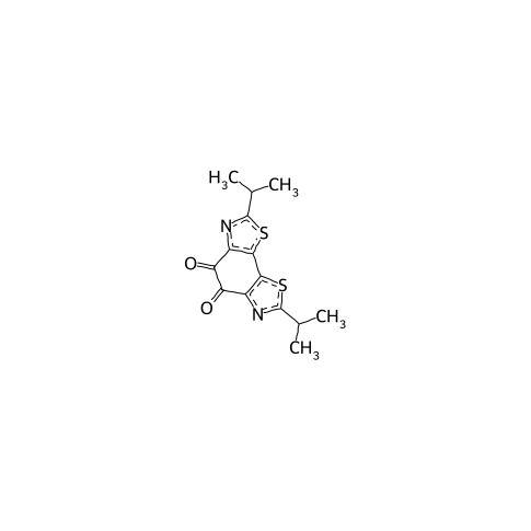 CC(C)c1nc2c(s1)-c1sc(C(C)C)nc1C(=O)C2=O